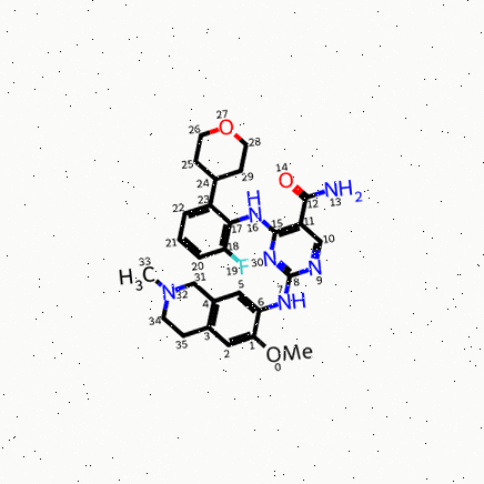 COc1cc2c(cc1Nc1ncc(C(N)=O)c(Nc3c(F)cccc3C3CCOCC3)n1)CN(C)CC2